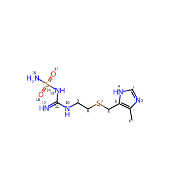 Cc1nc[nH]c1CSCCNC(=N)NS(N)(=O)=O